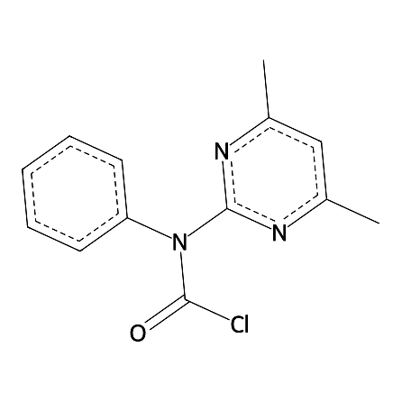 Cc1cc(C)nc(N(C(=O)Cl)c2ccccc2)n1